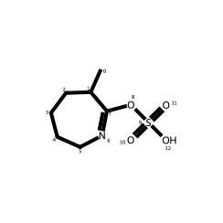 CC1CCCCN=C1OS(=O)(=O)O